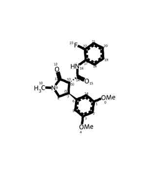 COc1cc(OC)cc([C@H]2CN(C)C(=O)[C@@H]2C(=O)Nc2ccccc2F)c1